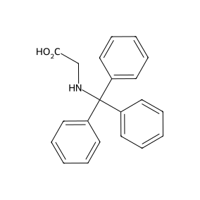 O=C(O)CNC(c1ccccc1)(c1ccccc1)c1ccccc1